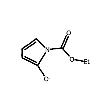 CCOC(=O)n1cccc1[O]